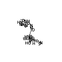 Cc1ccc(NC(=O)c2ccc(CN3CCN(C(=O)CCCCCC(=O)N[C@H](C(=O)N4C[C@H](O)C[C@H]4C(=O)NCc4ccc(-c5scnc5C)cc4)C(C)(C)C)CC3)cc2)cc1Nc1nccc(-c2cccnc2)n1